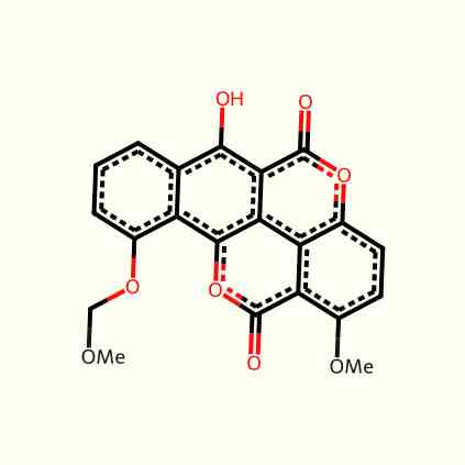 COCOc1cccc2c(O)c3c(=O)oc4ccc(OC)c5c(=O)oc(c12)c3c45